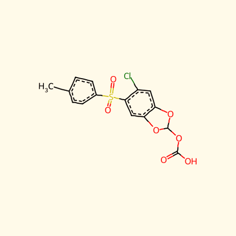 Cc1ccc(S(=O)(=O)c2cc3c(cc2Cl)OC(OC(=O)O)O3)cc1